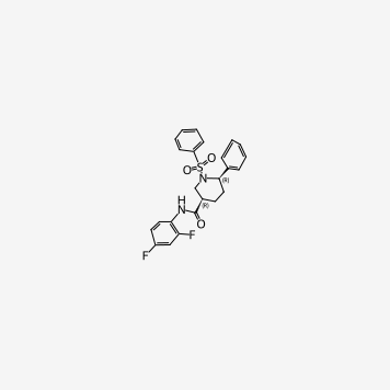 O=C(Nc1ccc(F)cc1F)[C@@H]1CC[C@H](c2ccccc2)N(S(=O)(=O)c2ccccc2)C1